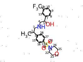 CC(CNCC(O)c1cccc(C(F)(F)F)c1)c1ccc(S(=O)(=O)N2CCOCC2)cc1